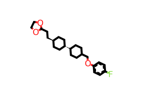 Fc1ccc(OCC2CCC([C@H]3CC[C@H](CCC4OCCO4)CC3)CC2)cc1